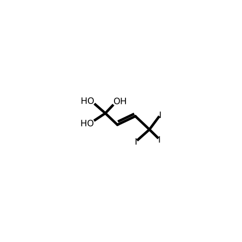 OC(O)(O)C=CC(I)(I)I